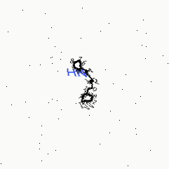 C(/C=C/c1cc2ccccc2[nH]1)=C\c1ccccc1